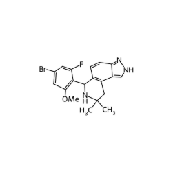 COc1cc(Br)cc(F)c1C1NC(C)(C)Cc2c1ccc1n[nH]cc21